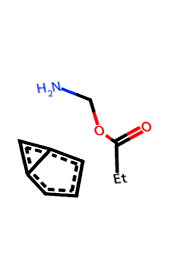 CCC(=O)OCN.c1cc2cc-2c1